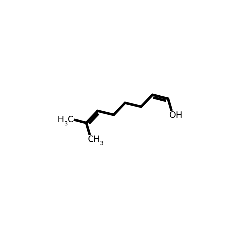 CC(C)=CCCC/C=C\O